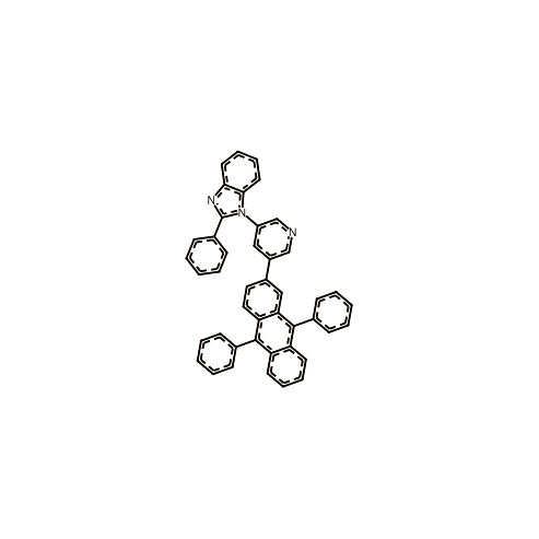 c1ccc(-c2c3ccccc3c(-c3ccccc3)c3cc(-c4cncc(-n5c(-c6ccccc6)nc6ccccc65)c4)ccc23)cc1